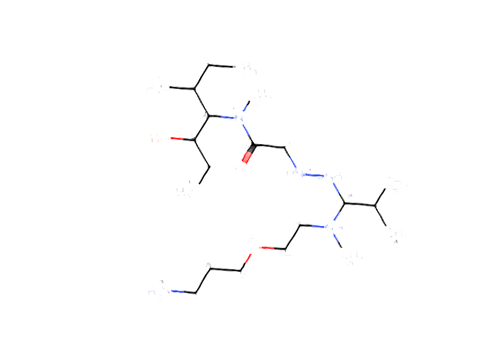 CCC(C)C(C(O)CC)N(C)C(=O)CNNC(C(C)C)N(C)CCOCCCN